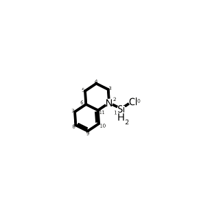 Cl[SiH2]N1CCCC2CC=CC=C21